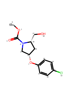 CC(C)(C)OC(=O)N1C[C@@H](Oc2ccc(Cl)cc2)C[C@H]1CO